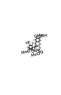 COC(=O)CCC1Cc2cc(OC)c(OC)cc2[C@@H](Cc2ccc(OC)c(OC)c2)N1C.I